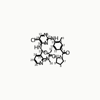 Cc1cc(C(=O)N2CCCC2)ccc1Nc1ncc(Cl)c(NCc2cccnc2N(C)S(C)(=O)=O)n1